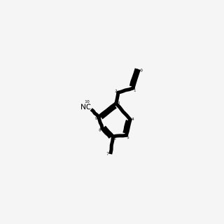 C=CCc1ccc(C)cc1C#N